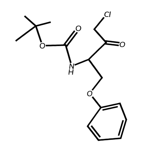 CC(C)(C)OC(=O)NC(COc1ccccc1)C(=O)CCl